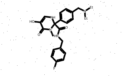 CCN(CC)Cc1ccc(C2(C(=O)NCc3ccc(F)cc3)NC=C(O)C(=O)N2C)cc1